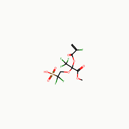 C=C(F)C(=O)OC(OCC(F)(F)S(=O)(=O)O)(C(=O)OC)C(F)(F)F